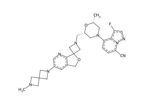 C[C@@H]1CN(c2ccc(C#N)n3ncc(F)c23)C[C@H](CN2CC3(C2)OCc2cc(N4CC5(CN(C)C5)C4)cnc23)O1